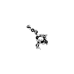 Cc1c(Cl)c2c(Cl)c(C)c1-c1c(-c3ccc(F)cc3)sc3ncnc(c13)O[C@@H](C(=O)O)Cc1cc(ccc1OCc1ccnc(C3CCC(OCC4COCO4)CC3)n1)OC[C@@H](CN1CCN(C)CC1)O2